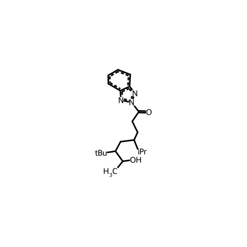 CC(C)C(CCC(=O)n1nc2ccccc2n1)CC(C(C)O)C(C)(C)C